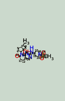 CC[C@]1(O)CCC[C@@H]1N1C(=O)CCc2cnc(NC3CCN(S(C)(=O)=O)CC3)nc21